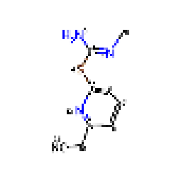 CN=C(N)Sc1cccc(CC#N)n1